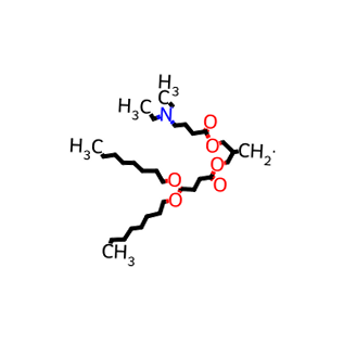 [CH2]C(COC(=O)CCCN(CC)CC)COC(=O)CCC(OCCCCCCCC)OCCCCCCCC